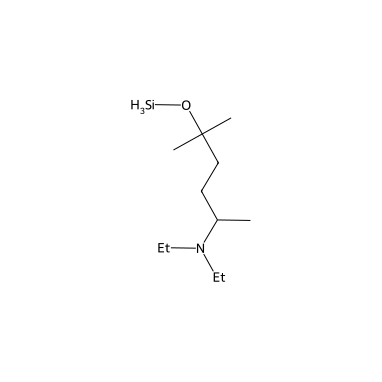 CCN(CC)C(C)CCC(C)(C)O[SiH3]